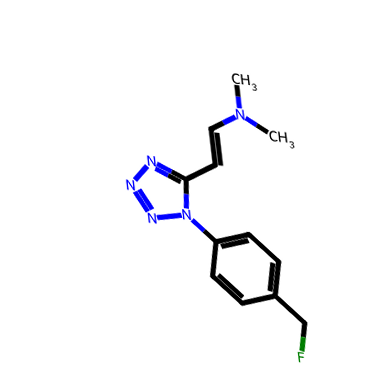 CN(C)/C=C/c1nnnn1-c1ccc(CF)cc1